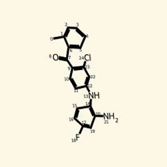 Cc1ccccc1C(=O)c1ccc(Nc2ccc(F)cc2N)cc1Cl